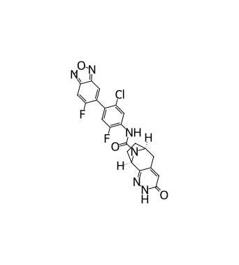 O=C(Nc1cc(Cl)c(-c2cc3nonc3cc2F)cc1F)N1[C@H]2CC[C@@H]1c1n[nH]c(=O)cc1C2